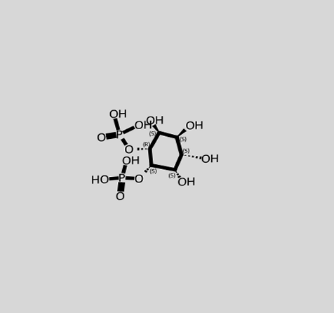 O=P(O)(O)O[C@@H]1[C@@H](O)[C@@H](O)[C@H](O)[C@H](O)[C@@H]1OP(=O)(O)O